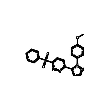 COc1ccc(-n2nccc2-c2ccc(S(=O)(=O)c3ccccc3)nn2)cc1